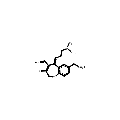 C=CC1=C(C)COc2ccc(CC(=O)O)cc2/C1=C\CCN(C)C